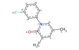 Cc1cc(C)c(=O)n(-c2cccc(F)c2)c1